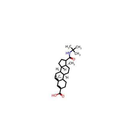 CC(C)(C)NC(=O)C1CC[C@H]2[C@@H]3CC=C4C=C(C(=O)O)CC[C@]4(C)[C@@H]3CC[C@]12C